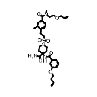 C=CCCOc1cccc(C(=O)NC2(C(N)=O)CCN(S(=O)(=O)CCc3ccc(C(=O)N(C)CCOCC=C)cc3C)CC2)c1